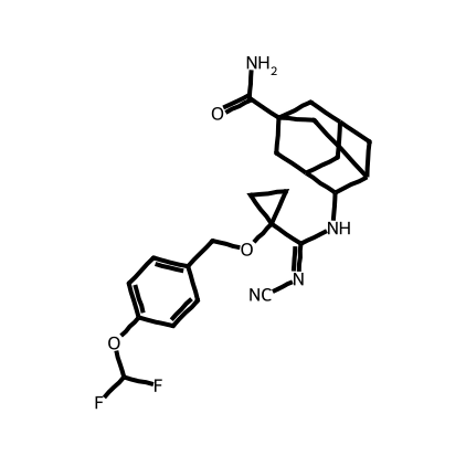 N#C/N=C(/NC1C2CC3CC1CC(C(N)=O)(C3)C2)C1(OCc2ccc(OC(F)F)cc2)CC1